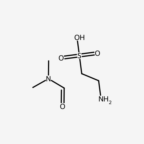 CN(C)C=O.NCCS(=O)(=O)O